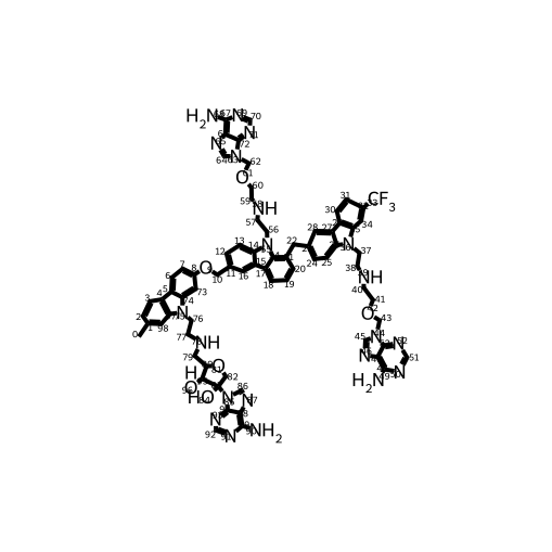 Cc1ccc2c3ccc(OCc4ccc5c(c4)c4cccc(Cc6ccc7c(c6)c6ccc(C(F)(F)F)cc6n7CCNCCOCn6cnc7c(N)ncnc76)c4n5CCNCCOCn4cnc5c(N)ncnc54)cc3n(CCNCC3OCC(O)(n4cnc5c(N)ncnc54)C3O)c2c1